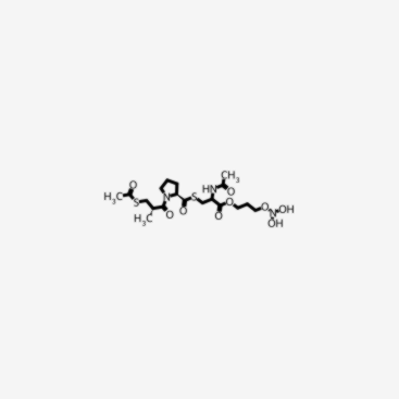 CC(=O)NC(CSC(=O)[C@@H]1CCCN1C(=O)[C@H](C)CSC(C)=O)C(=O)OCCCON(O)O